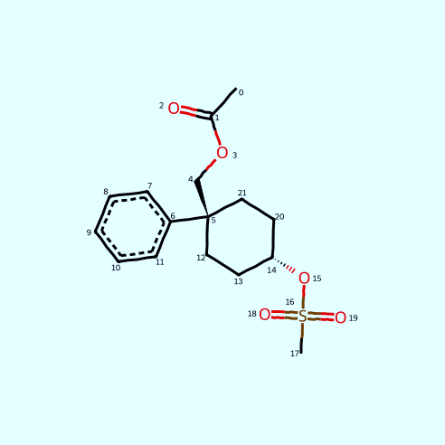 CC(=O)OC[C@]1(c2ccccc2)CC[C@@H](OS(C)(=O)=O)CC1